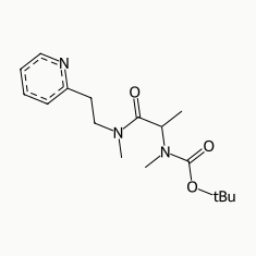 CC(C(=O)N(C)CCc1ccccn1)N(C)C(=O)OC(C)(C)C